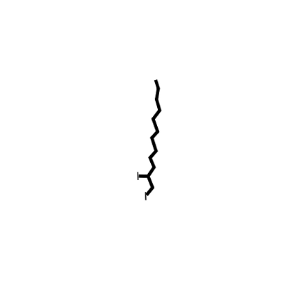 CCCCCCCCCCC(I)CI